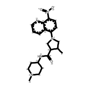 CC1CN(c2ccc([N+](=O)[O-])c3ncccc23)CC1C(=O)NC1CCN(C)CC1